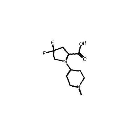 CN1CCC(N2CC(F)(F)CC2C(=O)O)CC1